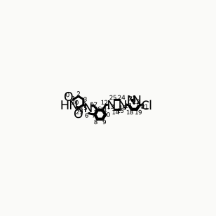 O=C1CCC(N2Cc3cccc(CN4CCN(c5ccc(Cl)nn5)CC4)c3C2)C(=O)N1